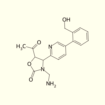 CC(=O)C1OC(=O)N(CN)C1c1ccc(-c2ccccc2CO)cn1